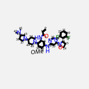 C=CC(=O)Nc1cc(Nc2cc(N3OCC[C@H]3c3c(F)cccc3F)ncn2)c(OC)cc1N1CCC(N2CC[C@H](N(C)C)C2)CC1